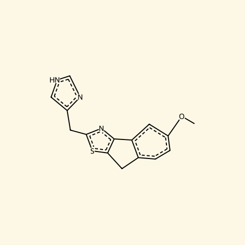 COc1ccc2c(c1)-c1nc(Cc3c[nH]cn3)sc1C2